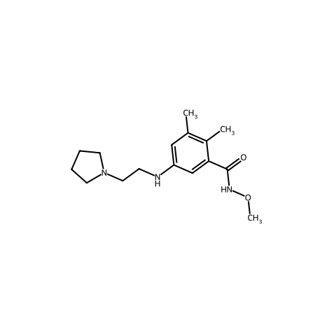 CONC(=O)c1cc(NCCN2CCCC2)cc(C)c1C